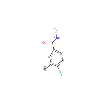 CCNC(=O)c1ccc(F)c(C#N)c1